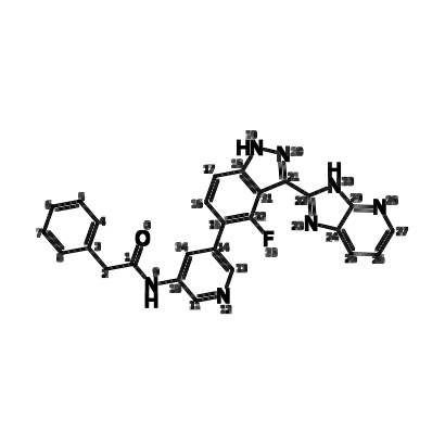 O=C(Cc1ccccc1)Nc1cncc(-c2ccc3[nH]nc(-c4nc5cccnc5[nH]4)c3c2F)c1